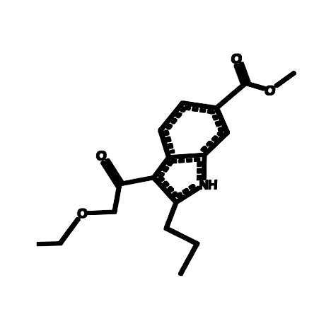 CCCc1[nH]c2cc(C(=O)OC)ccc2c1C(=O)COCC